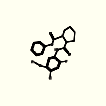 CC(C)Oc1cc(NC(=O)C2CCCCN2C(=O)Oc2ccccc2)c(F)cc1Cl